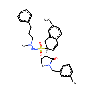 COc1ccc2c(c1)CC([C@H]1CCN(Cc3cccc(C#N)c3)C1=O)(S(=O)(=O)NN(CCCc1ccccc1)C(C)=O)C=C2